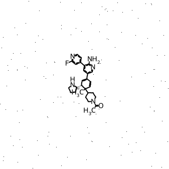 CC(=O)N1CCC(C2(C)C=CC(c3cnc(N)c(-c4ccnc(F)c4)c3)=CC2[C@@H]2CCCN2)CC1